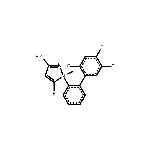 C[N+]1(c2ccccc2-c2cc(F)c(F)cc2F)N=C(C(F)(F)F)[C]=C1F